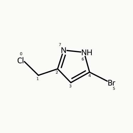 ClCc1cc(Br)[nH]n1